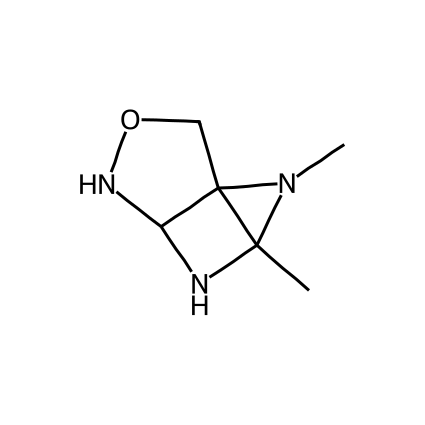 CN1C2(C)NC3NOCC312